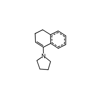 C1=C(N2CCCC2)c2ccccc2CC1